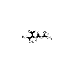 CC(C)OC(=O)NC(C(=O)I)C(C)C